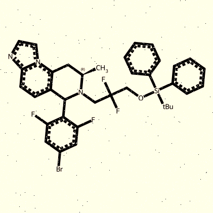 C[C@@H]1Cc2c(ccc3nccn23)C(c2c(F)cc(Br)cc2F)N1CC(F)(F)CO[Si](c1ccccc1)(c1ccccc1)C(C)(C)C